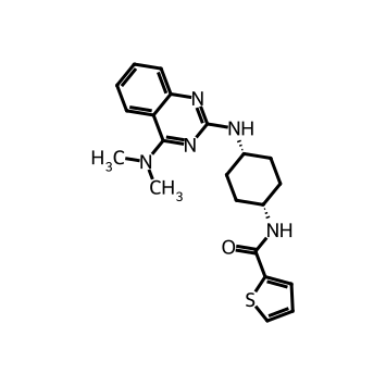 CN(C)c1nc(N[C@H]2CC[C@@H](NC(=O)c3cccs3)CC2)nc2ccccc12